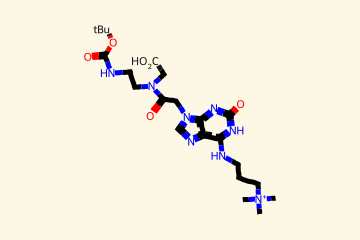 CC(C)(C)OC(=O)NCCN(CC(=O)O)C(=O)Cn1cnc2c(NCCC[N+](C)(C)C)[nH]c(=O)nc21